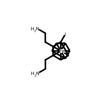 NCC[C]12[CH]3[CH]4[C]5(I)[C]1(CCN)[Fe]43521678[CH]2[CH]1[CH]6[CH]7[CH]28